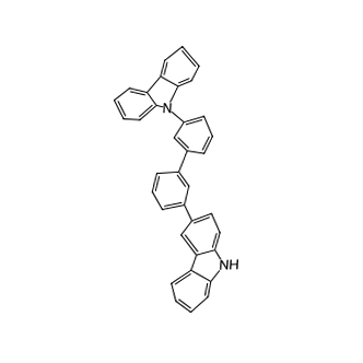 c1cc(-c2cccc(-n3c4ccccc4c4ccccc43)c2)cc(-c2ccc3[nH]c4ccccc4c3c2)c1